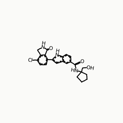 O=C(NC1(CO)CCCC1)c1ccc2[nH]c(-c3ccc(Cl)c4c3C(=O)NC4)cc2c1